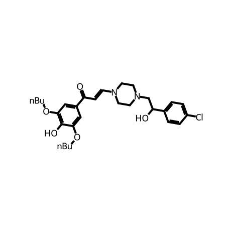 CCCCOc1cc(C(=O)C=CN2CCN(CC(O)c3ccc(Cl)cc3)CC2)cc(OCCCC)c1O